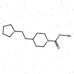 CC(C)(C)OC(=O)N1CCC(CCN2CCCC2)CC1